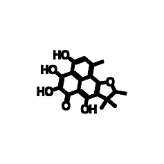 Cc1cc(O)c2c3c(c(O)c4c(c13)OC(C)C4(C)C)C(=O)C(O)=C2O